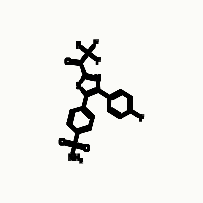 NS(=O)(=O)c1ccc(-c2sc(C(=O)C(F)(F)F)nc2-c2ccc(F)cc2)cc1